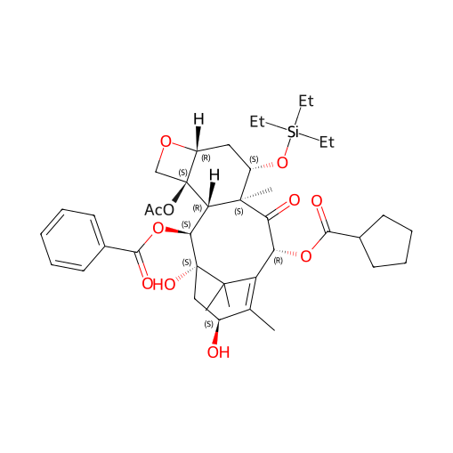 CC[Si](CC)(CC)O[C@H]1C[C@H]2OC[C@@]2(OC(C)=O)[C@H]2[C@H](OC(=O)c3ccccc3)[C@]3(O)C[C@H](O)C(C)=C([C@@H](OC(=O)C4CCCC4)C(=O)[C@]12C)C3(C)C